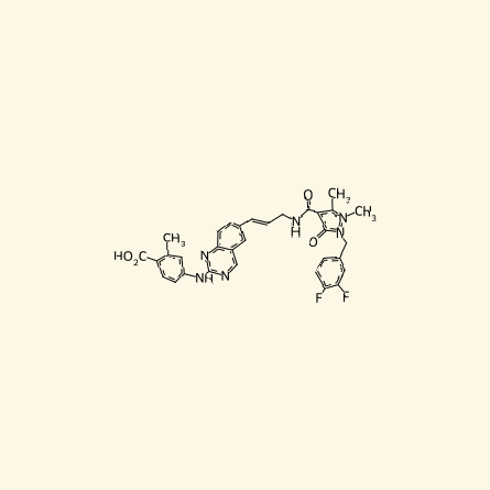 Cc1cc(Nc2ncc3cc(C=CCNC(=O)c4c(C)n(C)n(Cc5ccc(F)c(F)c5)c4=O)ccc3n2)ccc1C(=O)O